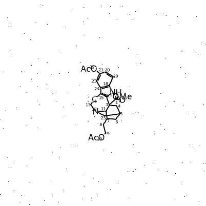 COC(=O)C12CC3CC(CCOC(C)=O)C1N(CCc1c2[nH]c2ccc(OC(C)=O)cc12)C3